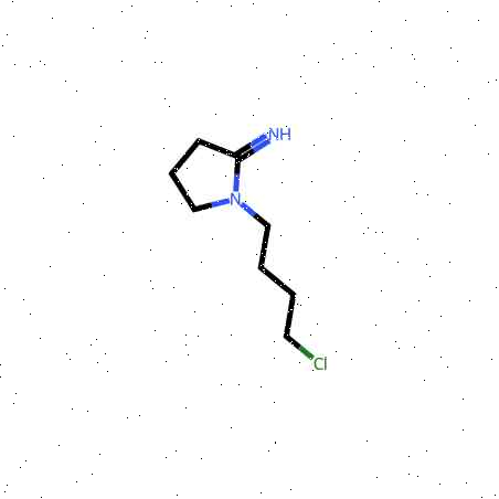 N=C1CCCN1CCCCCl